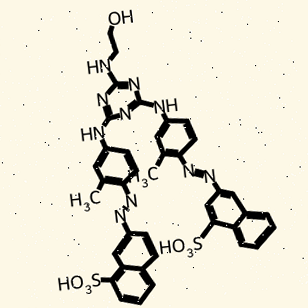 Cc1cc(Nc2nc(NCCO)nc(Nc3ccc(/N=N/c4ccc5cccc(S(=O)(=O)O)c5c4)c(C)c3)n2)ccc1/N=N/c1cc(S(=O)(=O)O)c2ccccc2c1